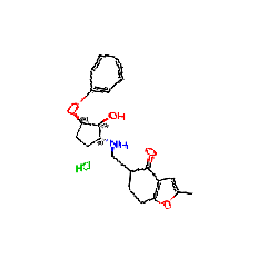 Cc1cc2c(o1)CCC(CN[C@@H]1CC[C@@H](Oc3ccccc3)[C@H]1O)C2=O.Cl